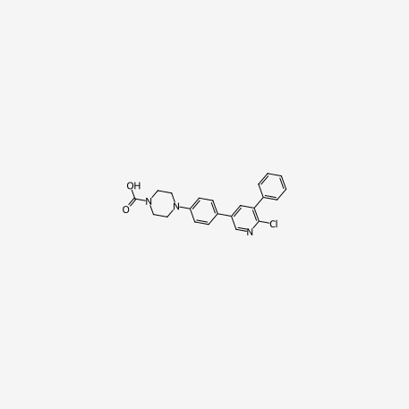 O=C(O)N1CCN(c2ccc(-c3cnc(Cl)c(-c4ccccc4)c3)cc2)CC1